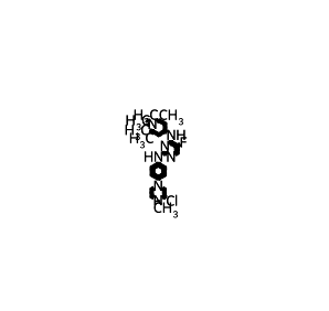 CN1CCN(c2ccc(Nc3ncc(F)c(NC4CC(C)(C)N(C)C(C)(C)C4)n3)cc2)CC1Cl